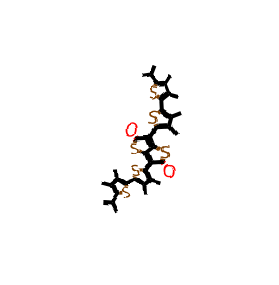 Cc1c(C2=C3SC(=O)C(c4sc(-c5sc(C(C)C)c(C)c5C)c(C)c4C)=C3SC2=O)sc(-c2sc(C(C)C)c(C)c2C)c1C